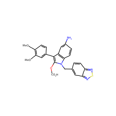 COc1ccc(-c2c(OC(=O)O)n(Cc3ccc4nsnc4c3)c3ccc(N)cc23)cc1OC